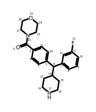 O=C(c1ccc(C(c2cccc(F)c2)C2CCNCC2)cc1)N1CCOCC1